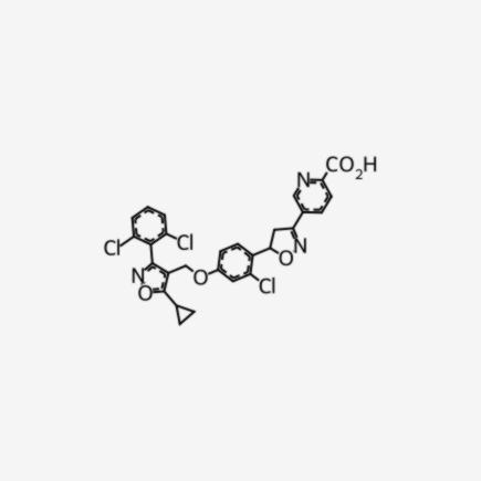 O=C(O)c1ccc(C2=NOC(c3ccc(OCc4c(-c5c(Cl)cccc5Cl)noc4C4CC4)cc3Cl)C2)cn1